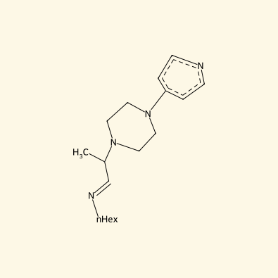 CCCCCCN=CC(C)N1CCN(c2ccncc2)CC1